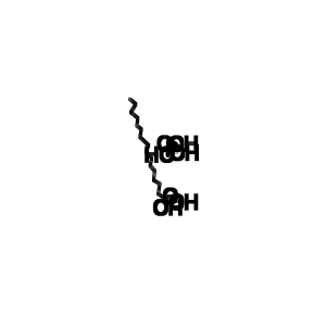 CCCCCCCCCCCCCCCC(O)OO.O=P(O)(O)O